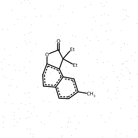 CCC1(CC)C(=O)Oc2ccc3ccc(C)cc3c21